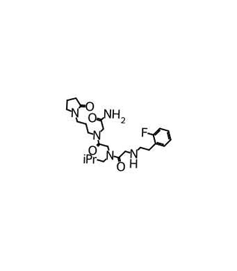 CC(C)CN(CC(=O)N(CCCN1CCCC1=O)CC(N)=O)C(=O)CNCCc1ccccc1F